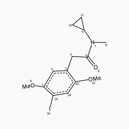 COc1cc(CC(=O)N(C)C2CC2)c(OC)cc1I